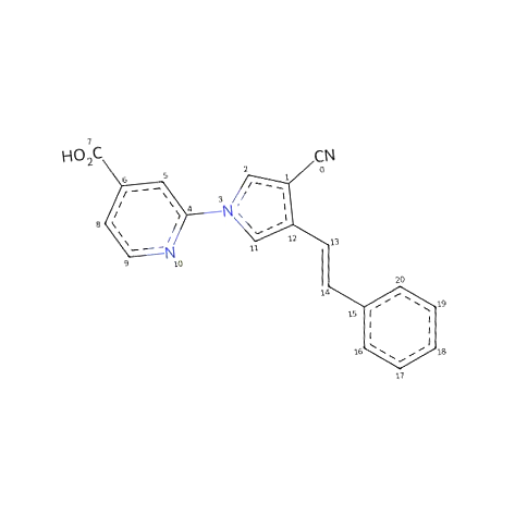 N#Cc1cn(-c2cc(C(=O)O)ccn2)cc1/C=C/c1ccccc1